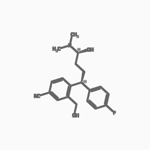 CN(C)[C@@H](O)CC[C@@H](c1ccc(F)cc1)c1ccc(C#N)cc1CO